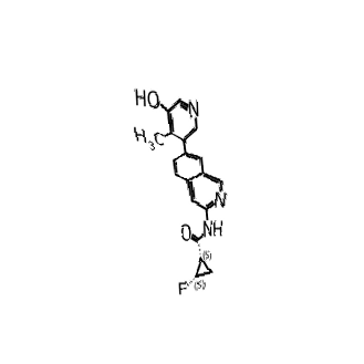 Cc1c(O)cncc1-c1ccc2cc(NC(=O)[C@@H]3C[C@@H]3F)ncc2c1